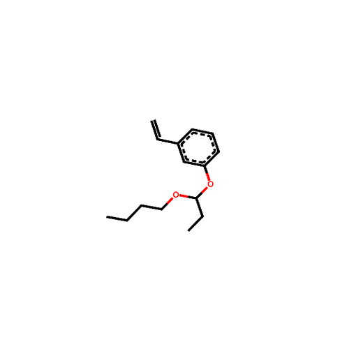 C=Cc1cccc(OC(CC)OCCCC)c1